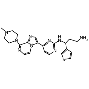 CN1CCN(c2nccn3c(-c4ccnc(NC(CCN)c5ccsc5)n4)cnc23)CC1